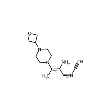 C#C/N=C\C(N)=C(/C)N1CCN(C2COC2)CC1